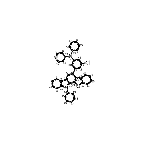 Clc1cc(-c2cc3c4ccccc4n(-c4ccccc4)c3c3oc4ccccc4c23)cc(N(c2ccccc2)c2ccncc2)c1